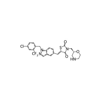 O=C1S/C(=C\c2ccc3c(cnn3Cc3ccc(Cl)cc3C(F)(F)F)c2)C(=O)N1C[C@@H]1CNCCO1